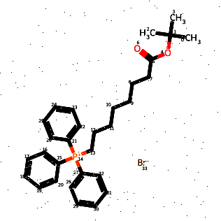 CC(C)(C)OC(=O)CCCCCCC[P+](c1ccccc1)(c1ccccc1)c1ccccc1.[Br-]